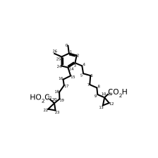 Cc1cc(CCCCCCC2(C(=O)O)CC2)c(CCCCCC2(C(=O)O)CC2)cc1C